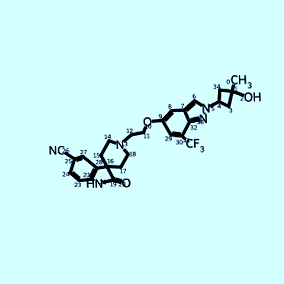 CC1(O)CC(n2cc3cc(OCCN4CCC5(CC4)C(=O)Nc4ccc(C#N)cc45)cc(C(F)(F)F)c3n2)C1